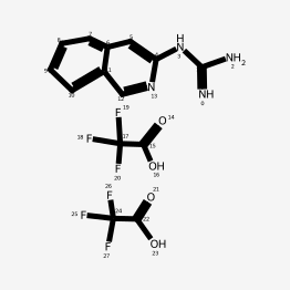 N=C(N)Nc1cc2ccccc2cn1.O=C(O)C(F)(F)F.O=C(O)C(F)(F)F